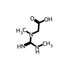 CNC(=N)N(C)CC(=O)O